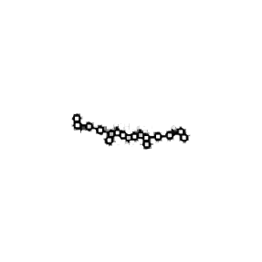 CCCCCCCCC1(CCCCCCCC)c2cc3c(cc2-c2cc4c(cc21)-c1c(cc(-c2ccc(-c5ccc6c(c5)oc5ccc7ccccc7c56)cc2)c2ccccc12)C4(C)C)C(C)(C)c1cc(-c2ccc(-c4ccc5c(c4)oc4ccc6ccccc6c45)cc2)c2ccccc2c1-3